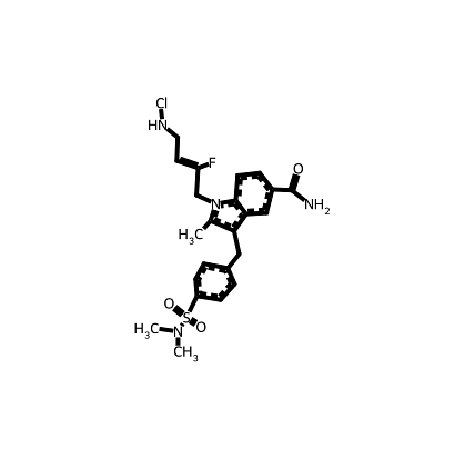 Cc1c(Cc2ccc(S(=O)(=O)N(C)C)cc2)c2cc(C(N)=O)ccc2n1C/C(F)=C/CNCl